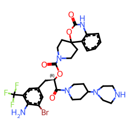 Nc1c(Br)cc(C[C@@H](OC(=O)N2CCC3(CC2)OC(=O)Nc2ccccc23)C(=O)N2CCC(N3CCNCC3)CC2)cc1C(F)(F)F